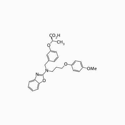 COc1ccc(OCCCN(Cc2cccc(O[C@H](C)C(=O)O)c2)c2nc3ccccc3o2)cc1